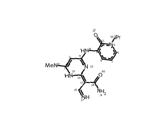 CNC1=CC(Nc2cccn(C(C)C)c2=O)=N/C(=C(/C=N)C(N)=O)N1